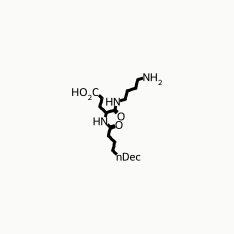 CCCCCCCCCCCCCC(=O)NC(CCC(=O)O)C(=O)NCCCCN